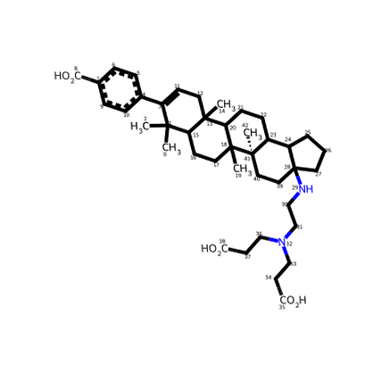 CC1(C)C(c2ccc(C(=O)O)cc2)=CCC2(C)C1CCC1(C)C2CCC2C3CCCC3(NCCN(CCC(=O)O)CCC(=O)O)CC[C@]21C